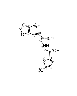 Cc1ccc(C(O)CNCCc2ccc3c(c2)OCO3)s1.Cl